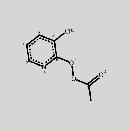 CC(=O)OOc1ncccc1Cl